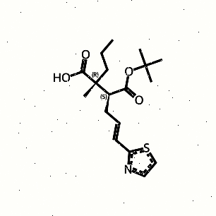 CCC[C@@](C)(C(=O)O)[C@H](CC=Cc1nccs1)C(=O)OC(C)(C)C